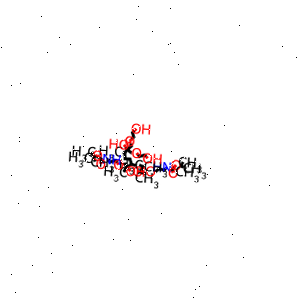 CC(CCC(COC(C)(COCCCNC(=O)OC(C)(C)C)C(C)C)C(C)(O)COCCNC(=O)OC(C)(C)C)C(O)(COCCO)COCCO